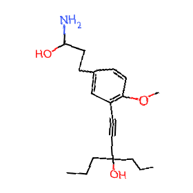 CCCC(O)(C#Cc1cc(CCC(N)O)ccc1OC)CCC